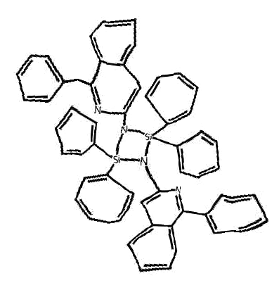 c1ccc(-c2nc(N3[Si](c4ccccc4)(c4ccccc4)N(c4cc5ccccc5c(-c5ccccc5)n4)[Si]3(c3ccccc3)c3ccccc3)cc3ccccc23)cc1